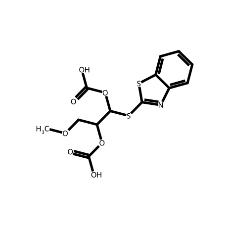 COCC(OC(=O)O)C(OC(=O)O)Sc1nc2ccccc2s1